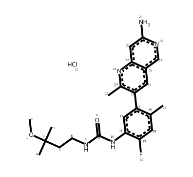 COC(C)(C)CCNC(=O)Nc1cc(-c2cc3cnc(N)cc3nc2C)c(C)cc1F.Cl